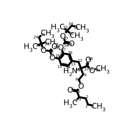 CCCC(C)C(=O)OCC[C@@](N)(Cc1ccc(OC(=O)OC(C)(C)CC)c(OC(=O)OC(C)(C)CC)c1)C(=O)OC